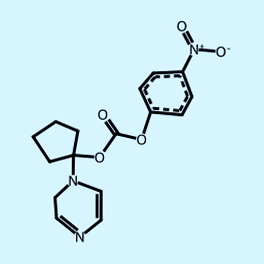 O=C(Oc1ccc([N+](=O)[O-])cc1)OC1(N2C=CN=CC2)CCCC1